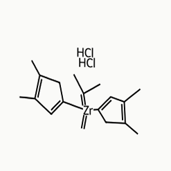 Cl.Cl.[CH2]=[Zr]([C]1=CC(C)=C(C)C1)([C]1=CC(C)=C(C)C1)=[C](C)C